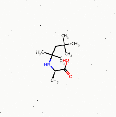 C[C@@H](NC(C)(C)CC(C)(C)C)C(=O)O